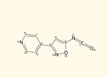 O=C=Nc1cc(-c2ccncc2)no1